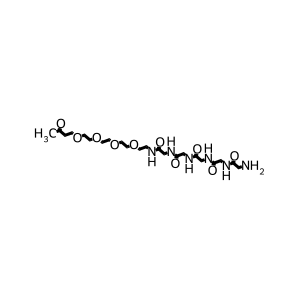 CC(=O)CCOCCOCCOCCOCCNC(=O)CNC(=O)CNC(=O)CNC(=O)CNC(=O)CN